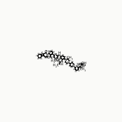 C=CC(=O)Nc1cc(Nc2nc(-c3ccnc(N4CCc5c(sc6c5CCCC6)C4=O)c3C(C)O)cn(C)c2=O)ccc1N1CCN(C2CCN(c3cccc(C(C)(C)OP(=O)(O)O)n3)CC2)C[C@@H]1C